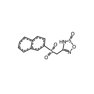 O=S1NC(CS(=O)(=O)c2ccc3ccccc3c2)=NO1